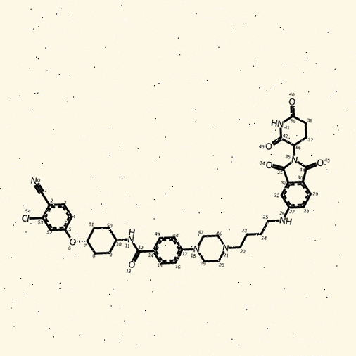 N#Cc1ccc(O[C@H]2CC[C@H](NC(=O)c3ccc(N4CCN(CCCCNc5ccc6c(c5)C(=O)N(C5CCC(=O)NC5=O)C6=O)CC4)cc3)CC2)cc1Cl